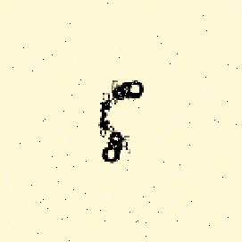 CC(C)(CCCC(C)(C)C(=O)Oc1cc(F)c2c(c1)C1(C)CCCCCC(C2)C1N)C(=O)Oc1cc(F)c2c(c1)C1(C)CCCCCC(C2)C1N